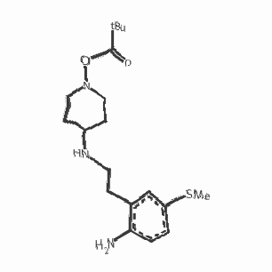 CSc1ccc(N)c(CCNC2CCN(OC(=O)C(C)(C)C)CC2)c1